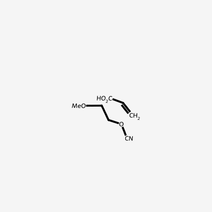 C=CC(=O)O.COCCOC#N